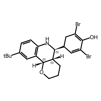 CC(C)(C)c1ccc2c(c1)[C@H]1OCCC[C@H]1[C@H](C1C=C(Br)C(O)=C(Br)C1)N2